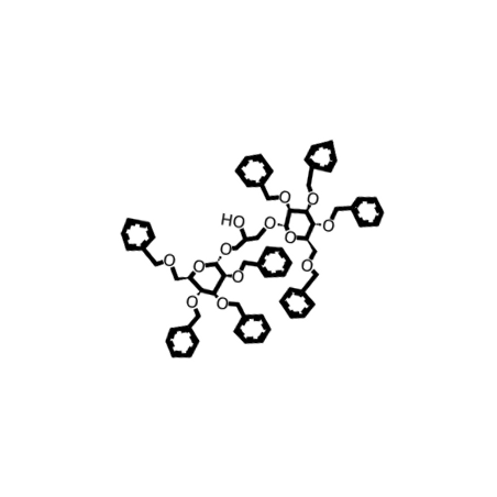 OC(CO[C@H]1O[C@H](COCc2ccccc2)[C@@H](OCc2ccccc2)[C@H](OCc2ccccc2)[C@@H]1OCc1ccccc1)CO[C@H]1O[C@H](COCc2ccccc2)[C@@H](OCc2ccccc2)[C@H](OCc2ccccc2)[C@@H]1OCc1ccccc1